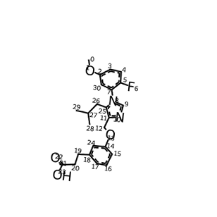 COc1ccc(F)c(-n2cnc(COc3cccc(CCC(=O)O)c3)c2CC(C)C)c1